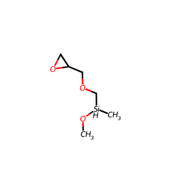 CO[SiH](C)COCC1CO1